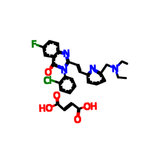 CCN(CC)Cc1cccc(C=Cc2nc3ccc(F)cc3c(=O)n2-c2ccccc2Cl)n1.O=C(O)C=CC(=O)O